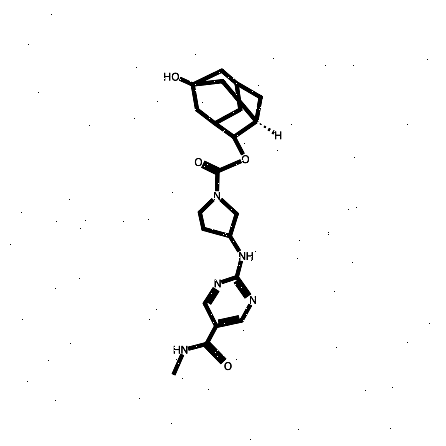 CNC(=O)c1cnc(NC2CCN(C(=O)OC3C4CC5C[C@@H]3CC(O)(C5)C4)C2)nc1